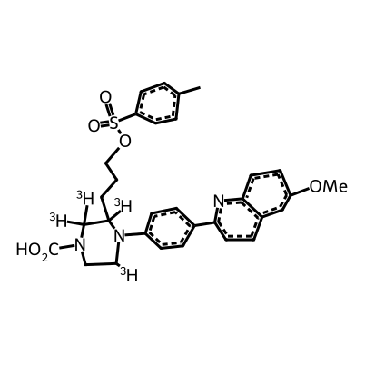 [3H]C1CN(C(=O)O)C([3H])([3H])C([3H])(CCCOS(=O)(=O)c2ccc(C)cc2)N1c1ccc(-c2ccc3cc(OC)ccc3n2)cc1